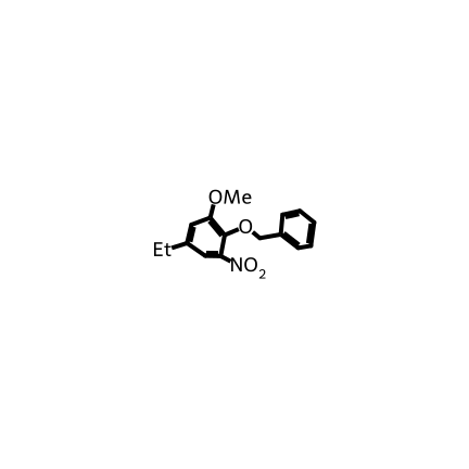 CCc1cc(OC)c(OCc2ccccc2)c([N+](=O)[O-])c1